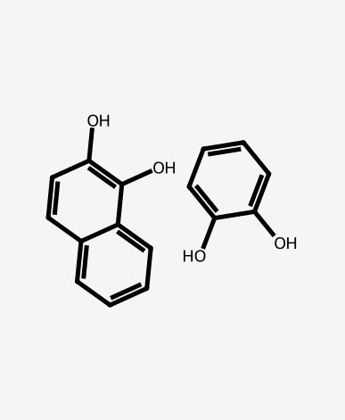 Oc1ccc2ccccc2c1O.Oc1ccccc1O